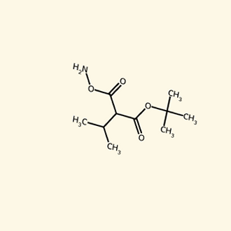 CC(C)C(C(=O)ON)C(=O)OC(C)(C)C